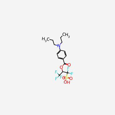 CCCN(CCC)c1ccc(C(=O)OC(C(F)(F)F)C(F)(F)S(=O)(=O)O)cc1